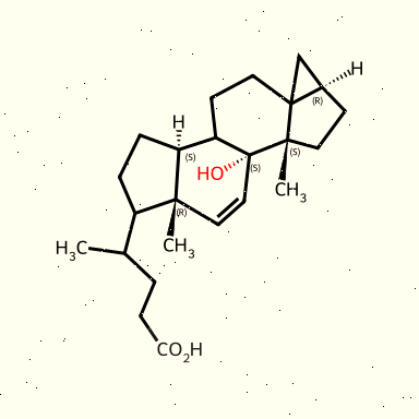 CC(CCC(=O)O)C1CC[C@H]2C3CCC45C[C@H]4CC[C@]5(C)[C@@]3(O)C=C[C@]12C